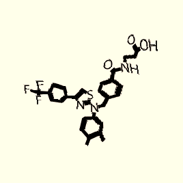 Cc1ccc(N(Cc2ccc(C(=O)NCCC(=O)O)cc2)c2nc(-c3ccc(C(F)(F)F)cc3)cs2)cc1C